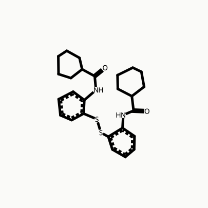 O=C(Nc1ccccc1SSc1ccccc1NC(=O)C1CCCCC1)C1CCCCC1